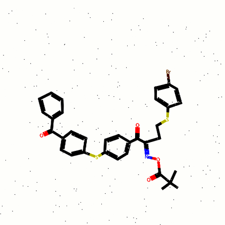 CC(C)(C)C(=O)O/N=C(\CCSc1ccc(Br)cc1)C(=O)c1ccc(Sc2ccc(C(=O)c3ccccc3)cc2)cc1